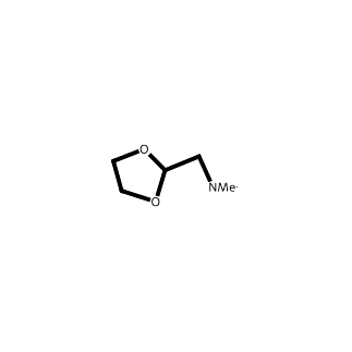 C[N]CC1OCCO1